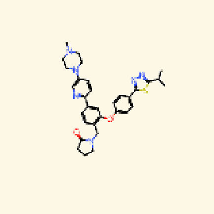 CC(C)c1nnc(-c2ccc(Oc3cc(-c4ccc(N5CCN(C)CC5)cn4)ccc3CN3CCCC3=O)cc2)s1